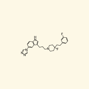 Fc1cccc(CCC2(F)CCN(CCCc3c[nH]c4ccc(-n5cnnc5)cc34)CC2)c1